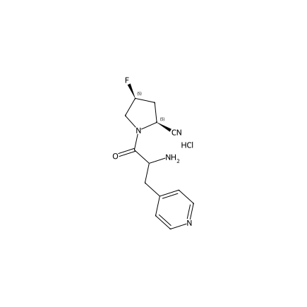 Cl.N#C[C@@H]1C[C@H](F)CN1C(=O)C(N)Cc1ccncc1